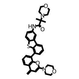 C=C1C=C(N2CCOCC2)Oc2c1cccc2-c1cccc2c1sc1ccc(NC(=O)C(C)(C)N3CCOCC3)cc12